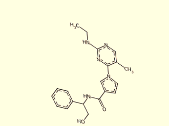 CCNc1ncc(C)c(-n2ccc(C(=O)NC(CO)c3ccccc3)c2)n1